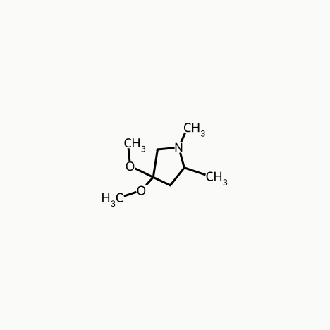 COC1(OC)CC(C)N(C)C1